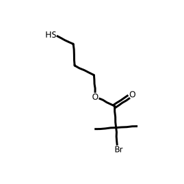 CC(C)(Br)C(=O)OCCCS